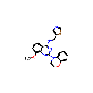 COc1cccc2c(NCc3cncs3)nc(N3CCOc4ccccc43)nc12